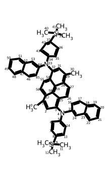 Cc1cc(N(c2ccc([Si](C)(C)C)cc2)c2ccc3ccccc3c2)c2ccc3c(C)cc(N(c4ccc([Si](C)(C)C)cc4)c4ccc5ccccc5c4)c4ccc1c2c34